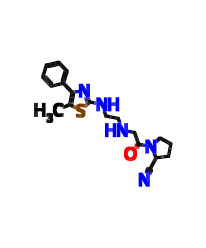 Cc1sc(NCCNCC(=O)N2CCCC2C#N)nc1-c1ccccc1